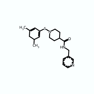 CC1=CC(SN2CCC(C(=O)NCc3cccnc3)CC2)=CC(C)C1